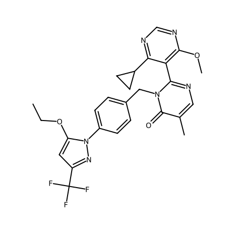 CCOc1cc(C(F)(F)F)nn1-c1ccc(Cn2c(-c3c(OC)ncnc3C3CC3)ncc(C)c2=O)cc1